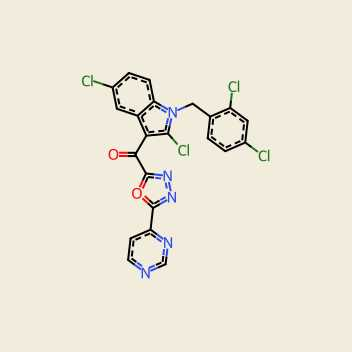 O=C(c1nnc(-c2ccncn2)o1)c1c(Cl)n(Cc2ccc(Cl)cc2Cl)c2ccc(Cl)cc12